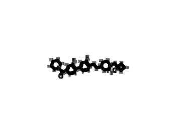 O=C(c1ccc(-c2ccc(CCC3CCN(CC4(C(F)(F)F)CCC4)CC3)c(F)c2)c(F)c1)N1CCCCC1